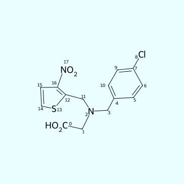 O=C(O)CN(Cc1ccc(Cl)cc1)Cc1sccc1[N+](=O)[O-]